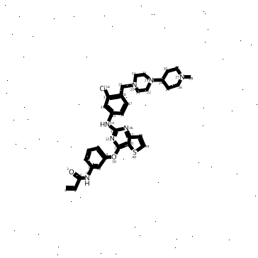 C=CC(=O)Nc1cccc(Oc2nc(Nc3ccc(CN4CCN(C5CCN(C)CC5)CC4)c(Cl)c3)nc3ccsc23)c1